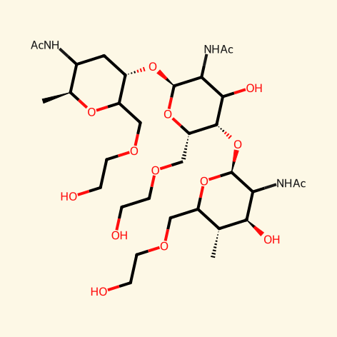 CC(=O)NC1C(O)[C@H](O[C@@H]2OC(COCCO)[C@@H](C)[C@H](O)C2NC(C)=O)[C@H](COCCO)O[C@H]1O[C@H]1CC(NC(C)=O)[C@H](C)OC1COCCO